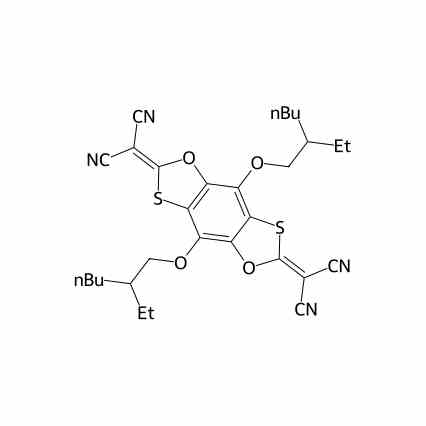 CCCCC(CC)COc1c2c(c(OCC(CC)CCCC)c3c1SC(=C(C#N)C#N)O3)SC(=C(C#N)C#N)O2